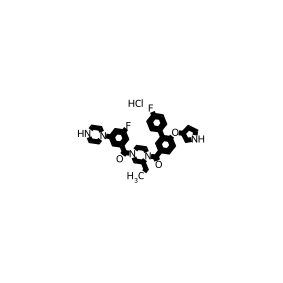 CCC1CN(C(=O)c2cc(F)cc(N3CCNCC3)c2)CCN1C(=O)c1ccc(OC2CCNC2)c(-c2ccc(F)cc2)c1.Cl